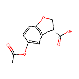 CC(=O)Oc1ccc2c(c1)[C@@H](C(=O)O)CO2